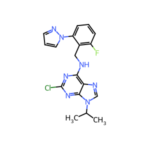 CC(C)n1cnc2c(NCc3c(F)cccc3-n3cccn3)nc(Cl)nc21